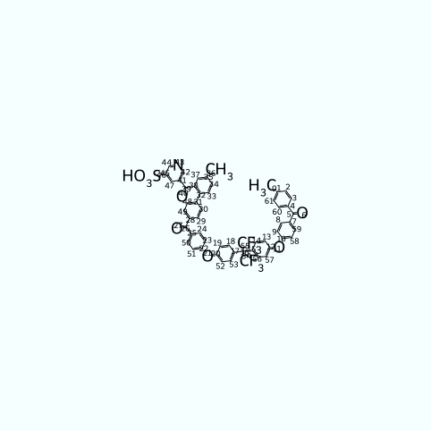 Cc1ccc(C(=O)c2ccc(Oc3ccc(C(c4ccc(Oc5ccc(C(=O)c6ccc(-c7ccc(C)cc7C(=O)c7cncc(S(=O)(=O)O)c7)cc6)cc5)cc4)(C(F)(F)F)C(F)(F)F)cc3)cc2)cc1